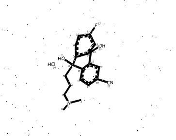 CN(C)CCCC(O)(c1ccc(F)cc1)c1ccc(C#N)cc1CO.Cl